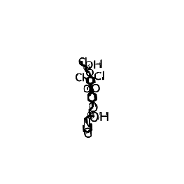 O=S(=O)(C1=CCC(OC[C@@H](O)CN2CCOCC2)C=C1)c1cc(Cl)c(OC[C@@H](O)CCl)c(Cl)c1